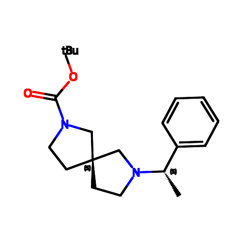 C[C@@H](c1ccccc1)N1CC[C@]2(CCN(C(=O)OC(C)(C)C)C2)C1